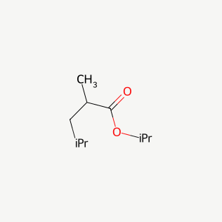 CC(C)CC(C)C(=O)OC(C)C